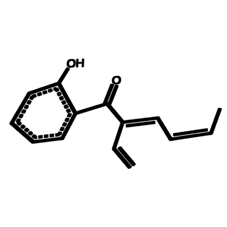 C=C/C(=C\C=C/C)C(=O)c1ccccc1O